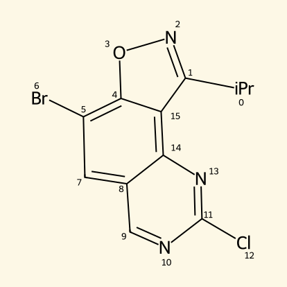 CC(C)c1noc2c(Br)cc3cnc(Cl)nc3c12